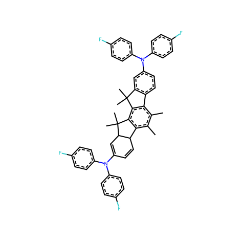 Cc1c(C)c2c(c3c1-c1ccc(N(c4ccc(F)cc4)c4ccc(F)cc4)cc1C3(C)C)C(C)(C)C1C=C(N(c3ccc(F)cc3)c3ccc(F)cc3)C=CC21